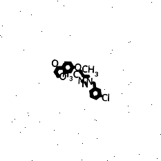 CC(C)(Oc1ccc2c(=O)ccoc2c1)c1cn(Cc2cccc(Cl)c2)nn1